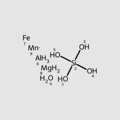 O.O[Si](O)(O)O.[AlH3].[Fe].[MgH2].[Mn]